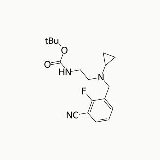 CC(C)(C)OC(=O)NCCN(Cc1cccc(C#N)c1F)C1CC1